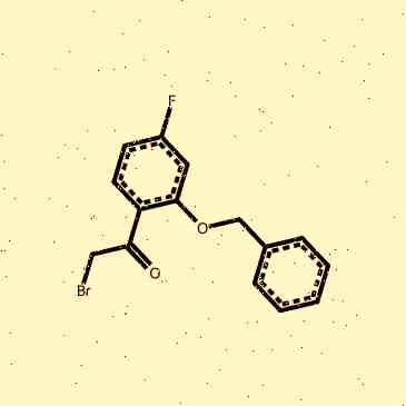 O=C(CBr)c1ccc(F)cc1OCc1ccccc1